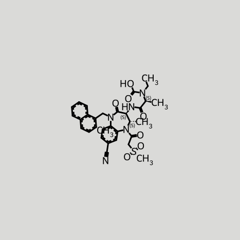 CCN(C(=O)O)[C@@H](C)C(=O)N[C@@H]1C(=O)N(Cc2c(C)ccc3ccccc23)c2ccc(C#N)cc2N(C(=O)CS(C)(=O)=O)[C@H]1C